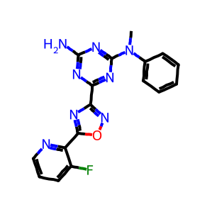 CN(c1ccccc1)c1nc(N)nc(-c2noc(-c3ncccc3F)n2)n1